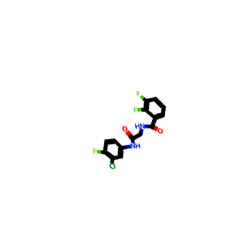 O=C(CNC(=O)c1cccc(F)c1F)Nc1ccc(F)c(Cl)c1